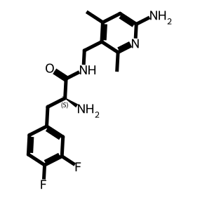 Cc1cc(N)nc(C)c1CNC(=O)[C@@H](N)Cc1ccc(F)c(F)c1